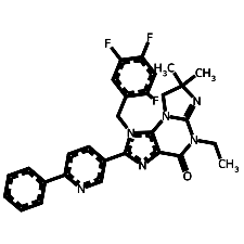 CCN1C(=O)c2nc(-c3ccc(-c4ccccc4)nc3)n(Cc3cc(F)c(F)cc3F)c2N2CC(C)(C)N=C12